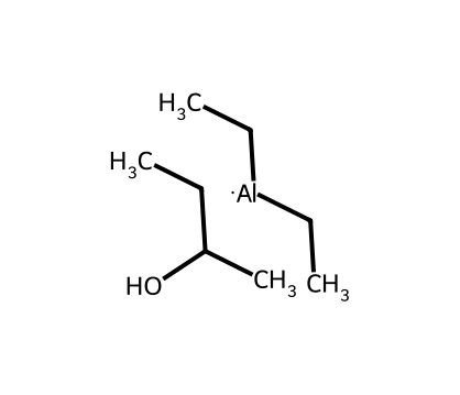 CCC(C)O.C[CH2][Al][CH2]C